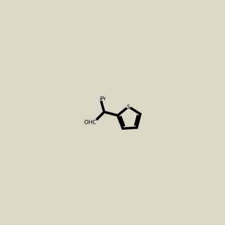 CC(C)C(C=O)c1cccs1